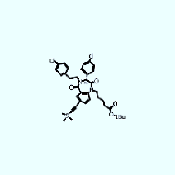 CC(C)(C)OC(=O)CCCCN1C(=O)[C@@H](c2ccc(Cl)cc2)N(CCc2ccc(Cl)cc2)C(=O)c2cc(C#C[Si](C)(C)C)ccc21